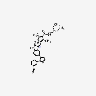 CCN(CC)CCNC(=O)c1c(C)[nH]c(/C=C2\C(=O)Nc3ccc(-c4ccnn4-c4cccc(C#N)c4)cc32)c1C